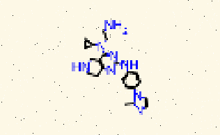 Cc1nccn1-c1ccc(Nc2nc3c(c(N(CCN)C4CC4)n2)CNCC3)cc1